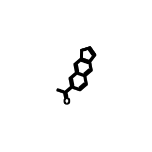 CC(=O)c1ccc2cc3c(cc2c1)CC=C3